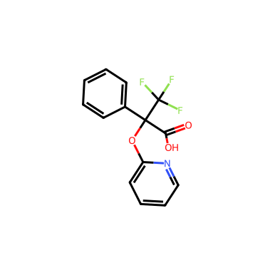 O=C(O)C(Oc1ccccn1)(c1ccccc1)C(F)(F)F